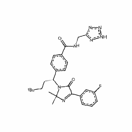 CC(C)(C)CC[C@H](c1ccc(C(=O)NCc2nn[nH]n2)cc1)N1C(=O)C(c2cccc(F)c2)=NC1(C)C